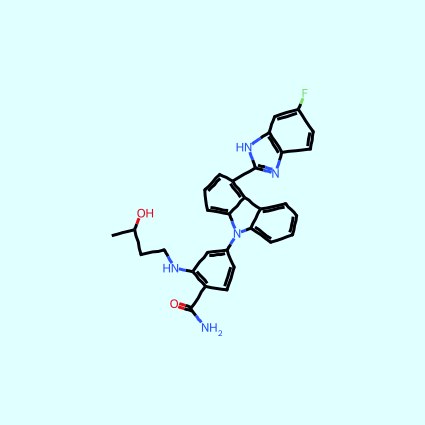 CC(O)CCNc1cc(-n2c3ccccc3c3c(-c4nc5ccc(F)cc5[nH]4)cccc32)ccc1C(N)=O